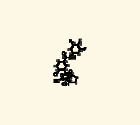 N#CC[C@@]1(O)CC2CCC1[C@@H]2S(=O)(=O)c1cc(C(=O)Nc2cc(F)c(F)c(F)c2)ccc1Cl